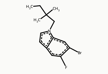 CCC(C)(C)Cn1ccc2cc(F)c(Br)cc21